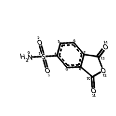 NS(=O)(=O)c1ccc2c(c1)C(=O)OC2=O